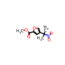 COC(=O)c1cc(C(C)(C)[N+](=O)[O-])co1